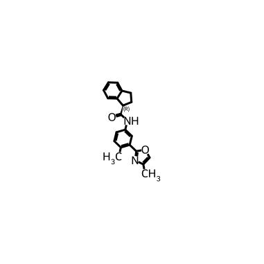 Cc1coc(-c2cc(NC(=O)[C@@H]3CCc4ccccc43)ccc2C)n1